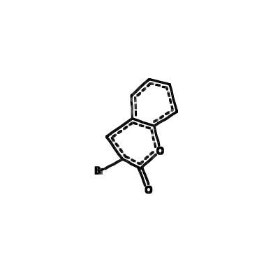 O=c1oc2ccccc2cc1Br